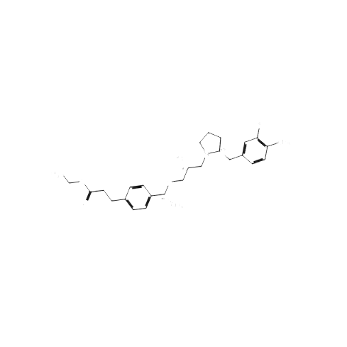 CCOC(=O)CCc1ccc([C@@H](C)OC[C@H](O)CN2CCC[C@H]2Cc2ccc(C)c(F)c2)cc1